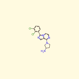 NC1CCN(c2nccn3c(-c4cccc(Cl)c4Cl)ncc23)C1